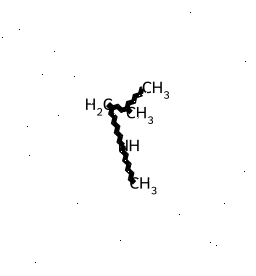 C=C(CCCCCCCNCCCCCCCC)CCC(C)CCCCCC